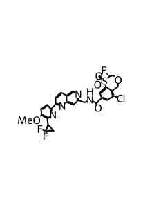 COc1ccc(-c2ccc3cnc(CNC(=O)c4cc(Cl)c5c(c4)S(=O)(=O)[C@@H](F)COC5)cc3n2)nc1C1CC1(F)F